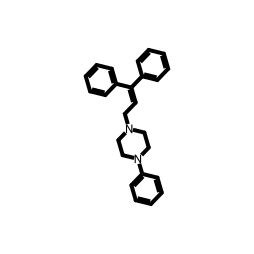 C(CN1CCN(c2ccccc2)CC1)=C(c1ccccc1)c1ccccc1